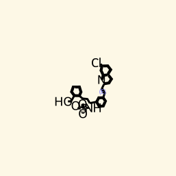 CS(=O)(=O)NC(CCc1ccccc1C(=O)O)c1cccc(/C=C/c2ccc3ccc(Cl)cc3n2)c1